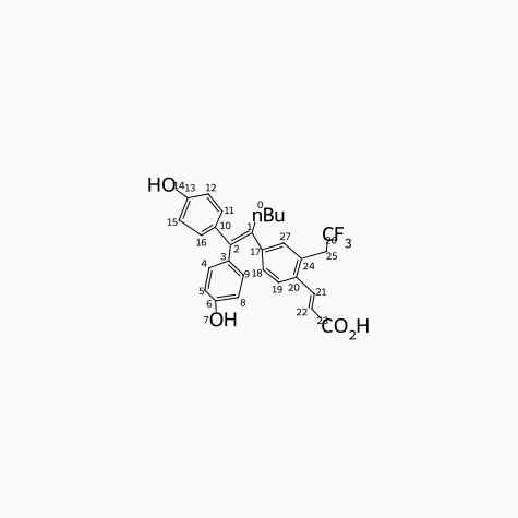 CCCCC(=C(c1ccc(O)cc1)c1ccc(O)cc1)c1ccc(C=CC(=O)O)c(CC(F)(F)F)c1